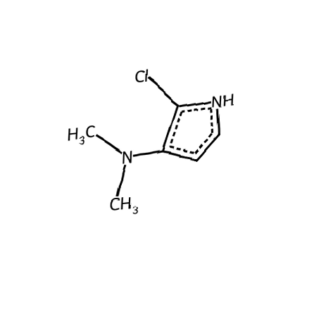 CN(C)c1cc[nH]c1Cl